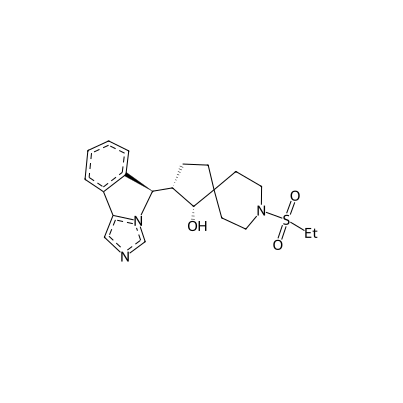 CCS(=O)(=O)N1CCC2(CC[C@@H]([C@@H]3c4ccccc4-c4cncn43)[C@H]2O)CC1